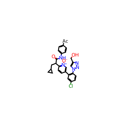 CC(=O)c1ccc(NC(=O)C(CC2CC2)c2ccc(-c3cc(Cl)ccc3-n3cc(CO)nn3)c[n+]2[O-])cc1